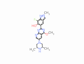 COc1nc(-c2cc3cn(C)nc3c(F)c2O)nc2ncc(N3C[C@@H](C)N[C@H](C)C3)cc12